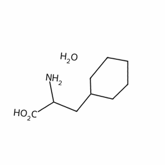 NC(CC1CCCCC1)C(=O)O.O